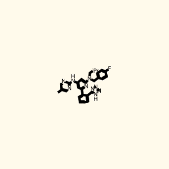 Cc1cnc(Nc2cc(-c3ccccc3-c3nnn[nH]3)nc(N(Cc3ccc(F)cc3)CC(C)C)c2)nc1